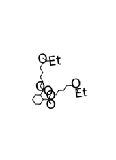 CCC1OC1CCCCOC(=O)C1CCCCC1C(=O)OCCCCC1OC1CC